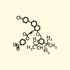 CC(C)(C)c1cc(COc2ccc3ccc(-c4ccc(Cl)cc4)cc3c2C#CC(=O)Oc2ccc([N+](=O)[O-])cc2)cc(C(C)(C)C)c1